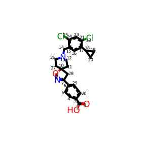 O=C(O)c1ccc(C2=NOC3(CCN(Cc4cc(C5CC5)c(Cl)cc4Cl)CC3)C2)cc1